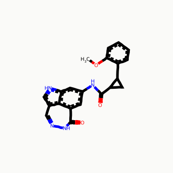 COc1ccccc1C1CC1C(=O)Nc1cc2c3c(c[nH]c3c1)C=NNC2=O